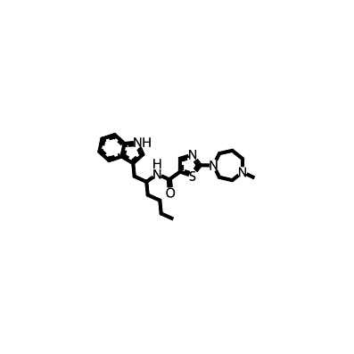 CCCCC(Cc1c[nH]c2ccccc12)NC(=O)c1cnc(N2CCCN(C)CC2)s1